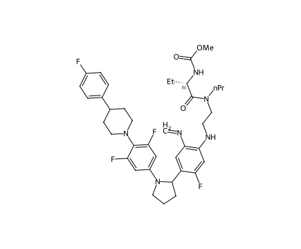 C=Nc1cc(C2CCCN2c2cc(F)c(N3CCC(c4ccc(F)cc4)CC3)c(F)c2)c(F)cc1NCCN(CCC)C(=O)[C@H](CC)NC(=O)OC